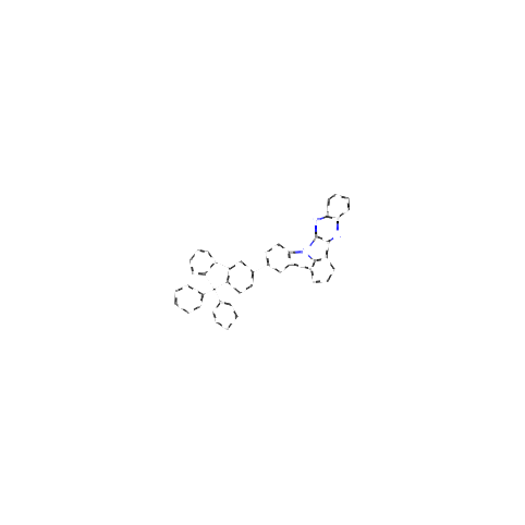 c1ccc(C2(c3ccccc3)c3ccccc3-c3cc(-c4ccc5c(c4)c4cccc6c7nc8ccccc8nc7n5c46)ccc32)cc1